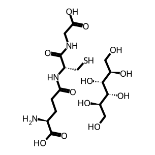 N[C@@H](CCC(=O)N[C@@H](CS)C(=O)NCC(=O)O)C(=O)O.OC[C@@H](O)[C@@H](O)[C@H](O)[C@H](O)CO